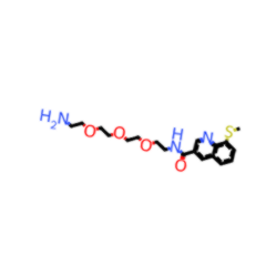 CSc1cccc2cc(C(=O)NCCOCCOCCOCCN)cnc12